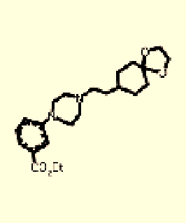 CCOC(=O)c1cccc(N2CCN(CCC3CCC4(CC3)OCCO4)CC2)c1